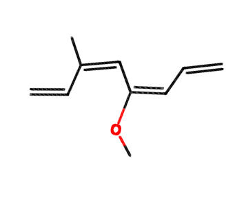 C=C/C=C(\C=C(\C)C=C)OC